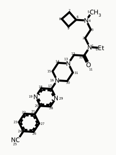 CCN(CCN(C)C1CCC1)C(=O)CN1CCN(c2cnc(-c3ccc(C#N)cc3)cn2)CC1